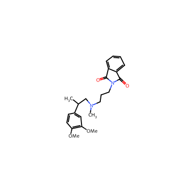 COc1ccc(C(C)CN(C)CCCN2C(=O)c3ccccc3C2=O)cc1OC